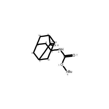 CCCCOC(=O)NC12CC3CC(C1)C(=S)C(C3)C2